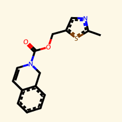 Cc1ncc(COC(=O)N2C=Cc3ccccc3C2)s1